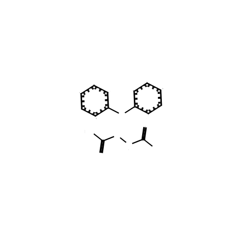 O=C(O)OOC(=O)O.c1ccc(Oc2ccccc2)cc1